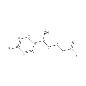 C=C(C)CCCC(O)c1ccc(C)cc1